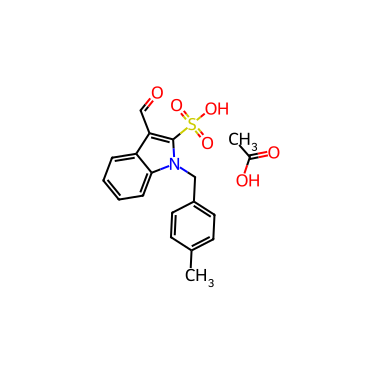 CC(=O)O.Cc1ccc(Cn2c(S(=O)(=O)O)c(C=O)c3ccccc32)cc1